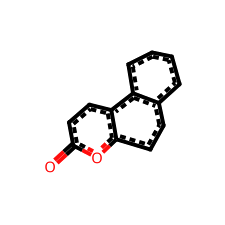 O=c1ccc2c(ccc3ccccc32)o1